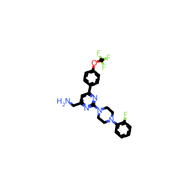 NCc1cc(-c2ccc(OC(F)(F)F)cc2)nc(N2CCN(c3ccccc3F)CC2)n1